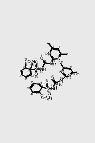 Cc1cc(C)nc(NC(=O)NS(=O)(=O)C2(C)C=CC=CC2C(=O)O)n1.Cc1cc(C)nc(NC(=O)NS(=O)(=O)c2ccccc2C(=O)O)n1